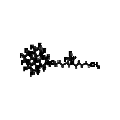 CCCCCC[NH+](CCCCCC)CC(F)F.Fc1c(F)c(F)c([B-](c2c(F)c(F)c(F)c(F)c2F)(c2c(F)c(F)c(F)c(F)c2F)c2c(F)c(F)c(F)c(F)c2F)c(F)c1F